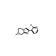 CN1CCn2cc(-c3cccnc3F)nc2C1